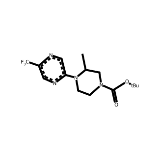 CC1CN(C(=O)OC(C)(C)C)CCN1c1cnc(C(F)(F)F)cn1